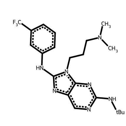 CN(C)CCCn1c(Nc2cccc(C(F)(F)F)c2)nc2cnc(NC(C)(C)C)nc21